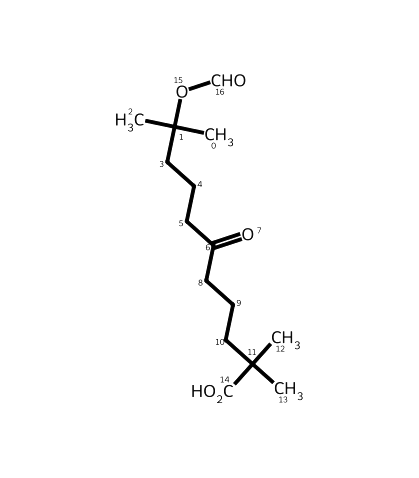 CC(C)(CCCC(=O)CCCC(C)(C)C(=O)O)OC=O